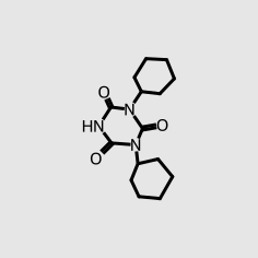 O=c1[nH]c(=O)n(C2CCCCC2)c(=O)n1C1CCCCC1